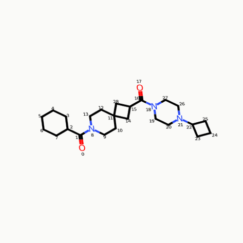 O=C(C1CCCCC1)N1CCC2(CC1)CC(C(=O)N1CCN(C3CCC3)CC1)C2